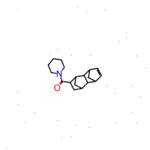 O=C(C1CC2CC1C1C3C=CC(C3)C21)N1CCCCC1